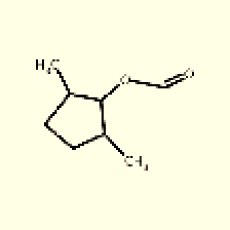 CC1CCC(C)C1O[C]=O